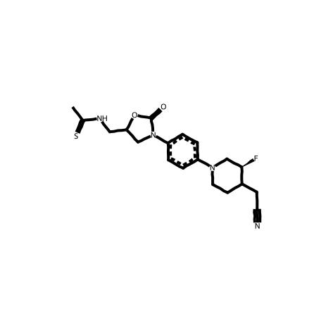 CC(=S)NCC1CN(c2ccc(N3CCC(CC#N)[C@H](F)C3)cc2)C(=O)O1